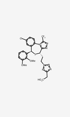 COc1cccc([C@@H]2S[C@@H](CCn3nnc(CC(=O)O)n3)c3nnc(C(F)(F)F)n3-c3ccc(Cl)cc32)c1OC